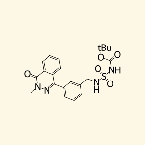 Cn1nc(-c2cccc(CNS(=O)(=O)NC(=O)OC(C)(C)C)c2)c2ccccc2c1=O